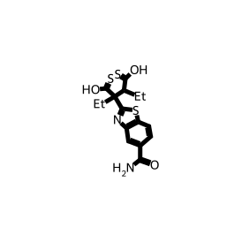 CCC(C(O)=S)C(CC)(C(O)=S)c1nc2cc(C(N)=O)ccc2s1